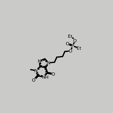 CCOP(=O)(CC)OCCCCn1cnc2c1c(=O)[nH]c(=O)n2C